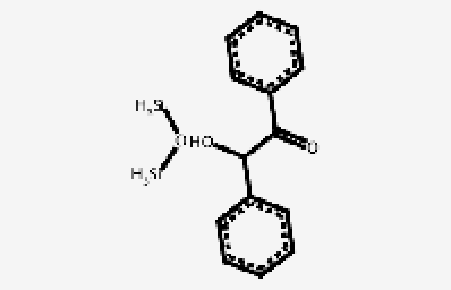 O=C(c1ccccc1)C(O)c1ccccc1.[SiH3]O[SiH3]